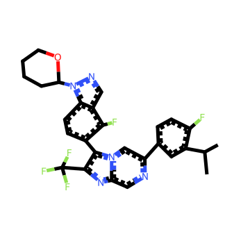 CC(C)c1cc(-c2cn3c(-c4ccc5c(cnn5C5CCCCO5)c4F)c(C(F)(F)F)nc3cn2)ccc1F